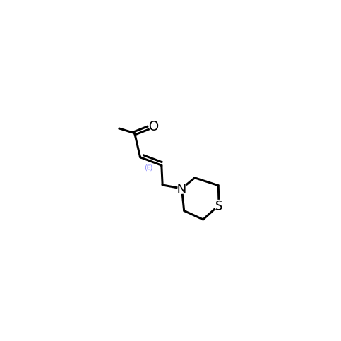 CC(=O)/C=C/CN1CCSCC1